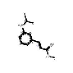 COC(=O)/C=C/c1cccc(OC(C)C)c1